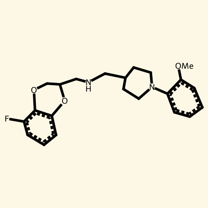 COc1ccccc1N1CCC(CNCC2COc3c(F)cccc3O2)CC1